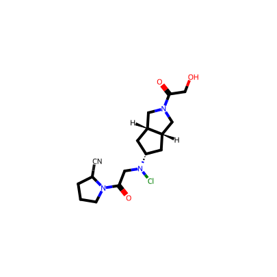 N#CC1CCCN1C(=O)CN(Cl)[C@@H]1C[C@@H]2CN(C(=O)CO)C[C@@H]2C1